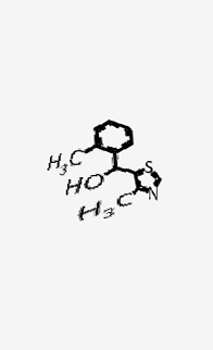 Cc1ccccc1C(O)c1scnc1C